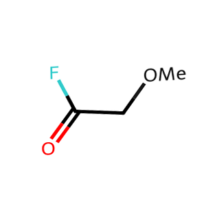 COCC(=O)F